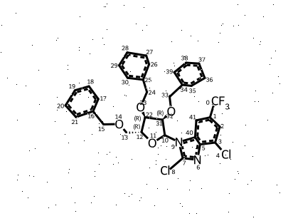 FC(F)(F)c1cc(Cl)c2nc(Cl)n(C3O[C@H](COCc4ccccc4)[C@@H](OCc4ccccc4)[C@H]3OCc3ccccc3)c2c1